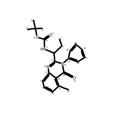 CCC(NC(=O)OC(C)(C)C)c1nc2cccc(C)c2c(=O)n1-c1ccccc1